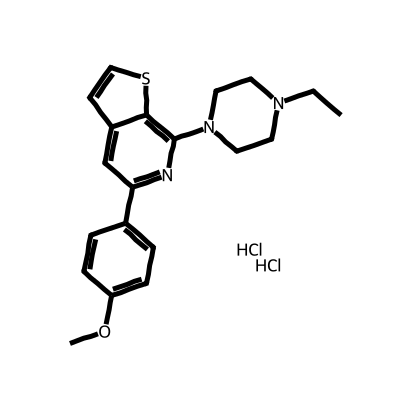 CCN1CCN(c2nc(-c3ccc(OC)cc3)cc3ccsc23)CC1.Cl.Cl